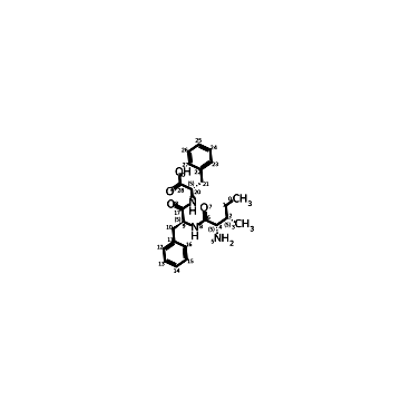 CC[C@H](C)[C@H](N)C(=O)N[C@@H](Cc1ccccc1)C(=O)N[C@@H](Cc1ccccc1)C(=O)O